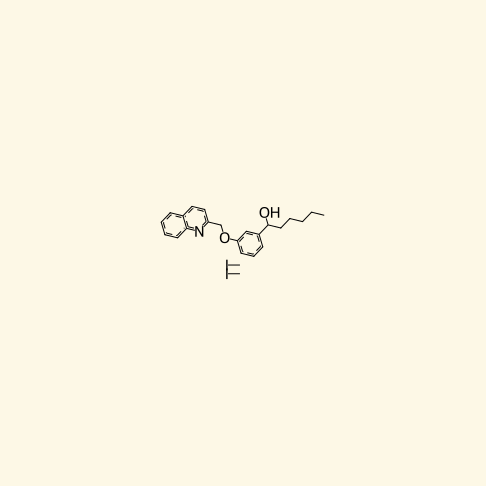 CCCCCC(O)c1cccc(OCc2ccc3ccccc3n2)c1.CI.CI